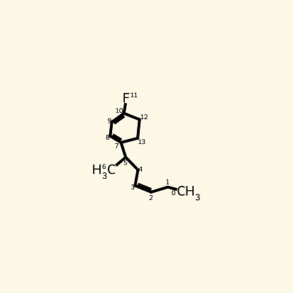 CC/C=C\CC(C)C1=CC=C(F)CC1